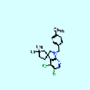 CCC1(C#N)CCC2(CN(Cc3ccc(OC)cc3)c3ncc(Br)c(Cl)c32)C1